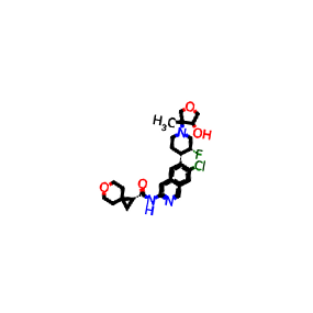 CC1(N2CC[C@@H](c3cc4cc(NC(=O)[C@@H]5CC56CCOCC6)ncc4cc3Cl)[C@@H](F)C2)COCC1O